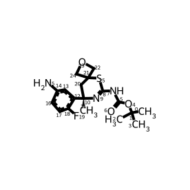 CC(C)(C)OC(=O)NC1=N[C@](C)(c2cc(N)ccc2F)CC2(COC2)S1